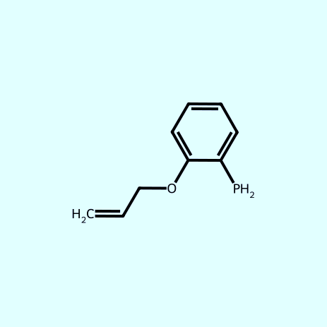 C=CCOc1ccccc1P